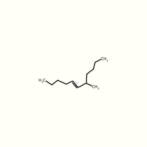 CCCC/C=C/C(C)CCCC